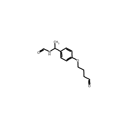 CC(NC=O)c1ccc(OCCCC=O)cc1